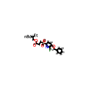 CCCCC(CC)COC(=O)CCS(=O)(=O)c1ccc(OCc2ccccc2)c(F)n1